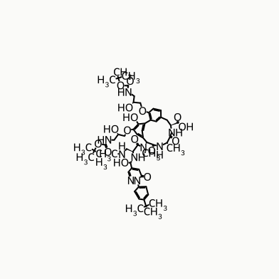 CNC[C@H](NC(O)c1cnn(-c2ccc(C(C)(C)C)cc2)c(=O)c1)C(=O)N(C)[C@@H]1C(=O)N[C@@H](C)C(=O)N[C@H](C(=O)O)Cc2ccc(OC[C@H](O)CNC(=O)OC(C)(C)C)c(c2)-c2cc1cc(OC[C@H](O)CNC(=O)OC(C)(C)C)c2O